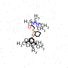 CCN(CC)C(C)N(C)C(=O)CSC1CCCCC1Sc1cc(C(C)(C)C)cc(C(C)(C)C)c1